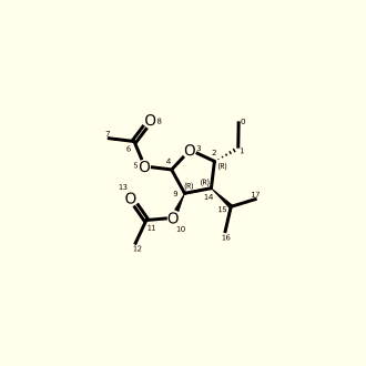 CC[C@H]1OC(OC(C)=O)[C@H](OC(C)=O)[C@@H]1C(C)C